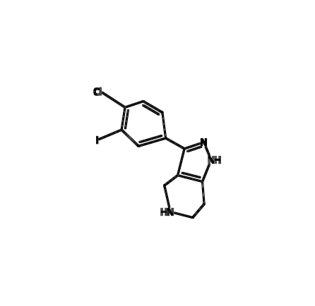 Clc1ccc(-c2n[nH]c3c2CNCC3)cc1I